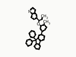 C=CC(Oc1cc(-c2ccc3c(c2)C(c2ccccc2)(c2ccccc2)c2ccccc2-3)ccc1C)c1ccc2ncccc2c1